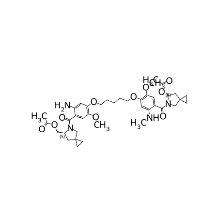 CNc1cc(OCCCCCOc2cc(N)c(C(=O)N3CC4(CC4)C[C@H]3COC(C)=O)cc2OC)c(OC)cc1C(=O)N1CC2(CC2)C[C@H]1OC(C)=O